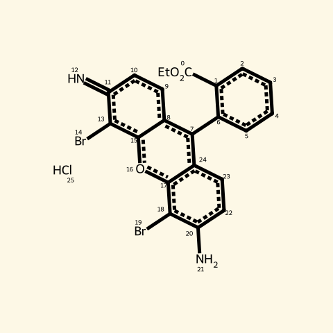 CCOC(=O)c1ccccc1-c1c2ccc(=N)c(Br)c-2oc2c(Br)c(N)ccc12.Cl